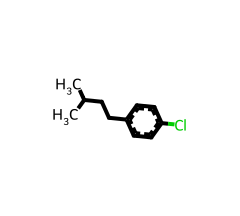 C[C](C)CCc1ccc(Cl)cc1